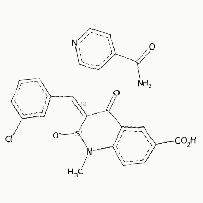 CN1c2ccc(C(=O)O)cc2C(=O)/C(=C/c2cccc(Cl)c2)[S+]1[O-].NC(=O)c1ccncc1